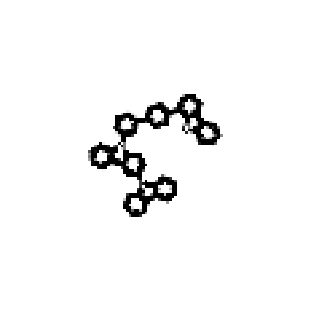 c1cc(-c2ccc(-c3cccc4c3oc3ccccc34)cc2)cc(-n2c3ccccc3c3cc(-n4c5ccccc5c5ccccc54)ccc32)c1